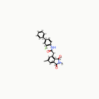 Cc1cc(CC(=O)Nc2ccc(-c3ccccc3)cc2F)c2c(c1)C(=O)N(C)C2=O